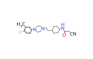 Cc1cc(N2CCN(CCC3CCC(NC(=O)CC#N)CC3)CC2)ccc1F